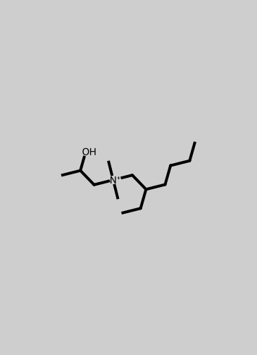 CCCCC(CC)C[N+](C)(C)CC(C)O